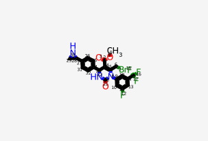 COC(=O)C1=C(CBr)N(c2cc(F)cc(C(F)(F)F)c2)C(=O)NC1c1ccc(C2CN2)cc1